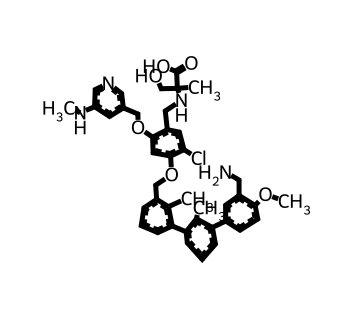 CNc1cncc(COc2cc(OCc3cccc(-c4cccc(-c5ccc(OC)c(CN)c5)c4C)c3C)c(Cl)cc2CNC(C)(CO)C(=O)O)c1